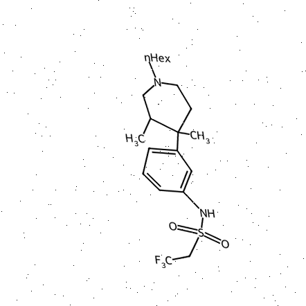 CCCCCCN1CCC(C)(c2cccc(NS(=O)(=O)CC(F)(F)F)c2)C(C)C1